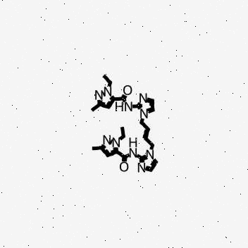 CCn1nc(C)cc1C(=O)Nc1nccn1C/C=C/Cn1ccnc1NC(=O)c1cc(C)nn1CC